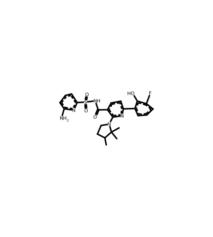 CC1CCN(c2nc(-c3cccc(F)c3O)ccc2C(=O)NS(=O)(=O)c2cccc(N)n2)C1(C)C